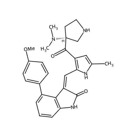 COc1ccc(-c2cccc3c2C(=Cc2[nH]c(C)cc2C(=O)[C@@]2(N(C)C)CCNC2)C(=O)N3)cc1